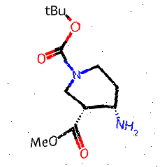 COC(=O)[C@@H]1CN(C(=O)OC(C)(C)C)CC[C@@H]1N